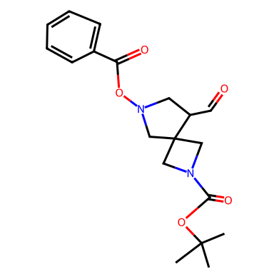 CC(C)(C)OC(=O)N1CC2(CN(OC(=O)c3ccccc3)CC2C=O)C1